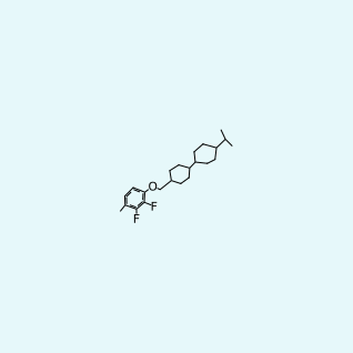 Cc1ccc(OCC2CCC(C3CCC(C(C)C)CC3)CC2)c(F)c1F